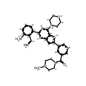 CN1CCN(C(=O)c2cncc(-c3cc4nc(-c5cccc(N)c5C=N)nc(N5CCOCC5)c4s3)c2)CC1